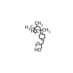 CC(=O)C(C)CC(C)(C)N1CCN(CC(CO)OI)CC1